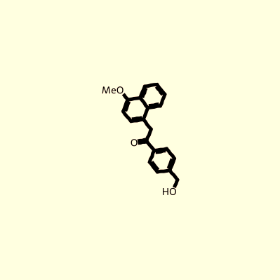 COc1ccc(CC(=O)c2ccc(CO)cc2)c2ccccc12